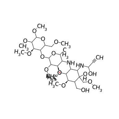 C#CC(O)NC1C(NC2C(C)OC(OC3C(COC)OC(OC)C(OC)[C@@H]3OC)C(OC)[C@@H]2OC)C(OC)[C@H](OC)C(CO)C1(O)COC